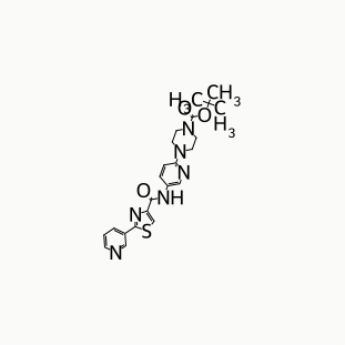 CC(C)(C)OC(=O)N1CCN(c2ccc(NC(=O)c3csc(-c4cccnc4)n3)cn2)CC1